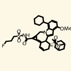 COc1ccc(C2CCCCC2)c2c1cc1n2CC2=C(C(=O)NS(=O)(=O)CCCF)C2=C2C=CC[C@@H](C(=O)N3C4CC3CN(C)C4)C21